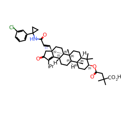 CC(C)C1=C2[C@H]3CC[C@@H]4[C@@]5(C)CC[C@H](OC(=O)CC(C)(C)C(=O)O)C(C)(C)[C@@H]5CC[C@@]4(C)[C@]3(C)CC[C@@]2(/C=C/C(=O)NC2(c3cccc(Cl)c3)CC2)CC1=O